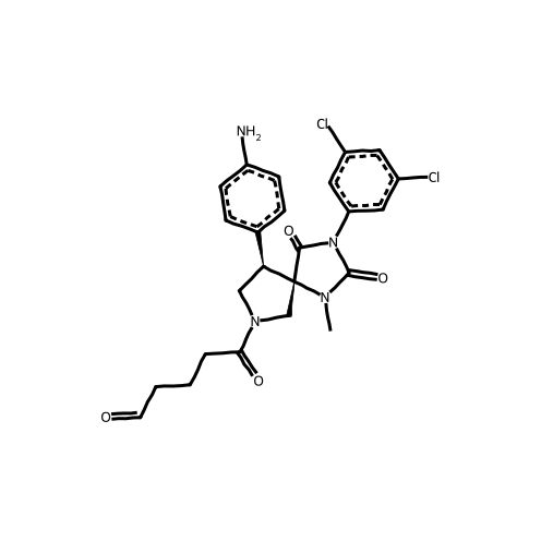 CN1C(=O)N(c2cc(Cl)cc(Cl)c2)C(=O)[C@]12CN(C(=O)CCCC=O)C[C@H]2c1ccc(N)cc1